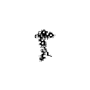 CCCN(CCOc1ccc(CC(Nc2ccccc2C(=O)c2ccccc2)C(=O)O)cc1)C(=O)C=Cc1cccs1